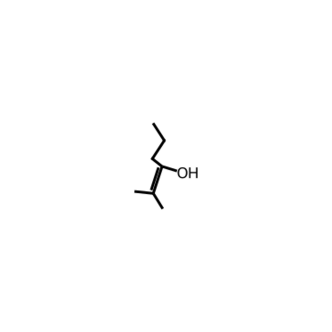 CCCC(O)=C(C)C